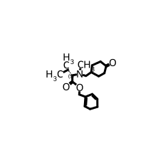 CC(C)[C@@H](C(=O)OCC1=CCCC=C1)N(C)CC1CCC(=O)CC1